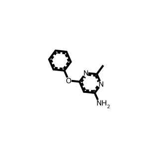 Cc1nc(N)cc(Oc2ccccc2)n1